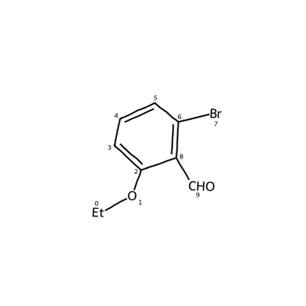 CCOc1cccc(Br)c1C=O